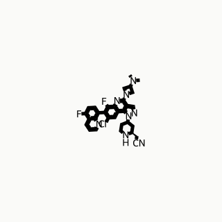 CN(C)C1CN(c2nc3c(F)c(-c4ccc(F)c5cccnc45)c(Cl)cc3c3c2cnn3C2CCN[C@H](CC#N)C2)C1